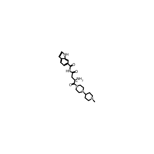 CN1CCC(N2CCN(C(=O)[C@H](N)CC(=O)NC(=O)c3ccc4cc[nH]c4c3)CC2)CC1